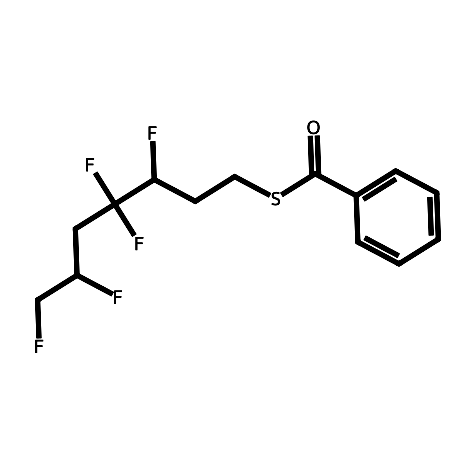 O=C(SCCC(F)C(F)(F)CC(F)CF)c1ccccc1